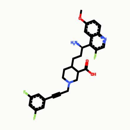 COc1ccc2ncc(F)c([C@H](N)CCC3CCN(CC#Cc4cc(F)cc(F)c4)CC3C(=O)O)c2c1